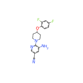 N#Cc1cnc(N2CCC(Oc3ccc(F)cc3F)CC2)c(N)c1